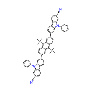 CC(C)(C)c1c2ccc(-c3ccc4c5ccc(C#N)cc5n(-c5ccccc5)c4c3)cc2c(C(C)(C)C)c2ccc(-c3ccc4c5ccc(C#N)cc5n(-c5ccccc5)c4c3)cc12